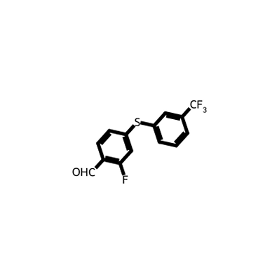 O=Cc1ccc(Sc2cccc(C(F)(F)F)c2)cc1F